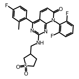 Cc1cc(F)ccc1-c1nc(NCC2CCS(=O)(=O)C2)nc2c1ccc(=O)n2-c1c(F)cccc1F